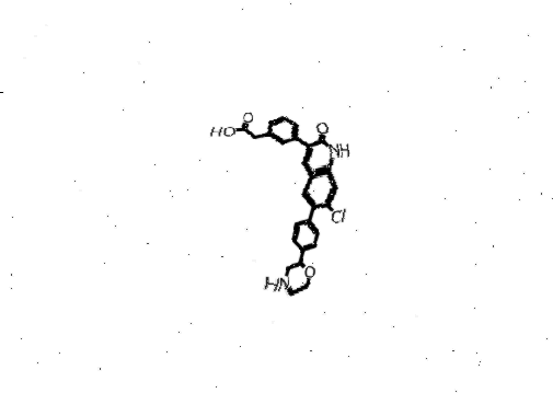 O=C(O)Cc1cccc(-c2cc3cc(-c4ccc(C5CNCCO5)cc4)c(Cl)cc3[nH]c2=O)c1